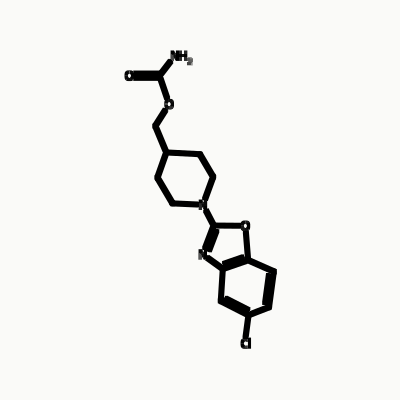 NC(=O)OCC1CCN(c2nc3cc(Cl)ccc3o2)CC1